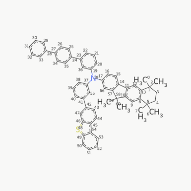 CC1(C)CCC(C)(C)c2cc3c(cc21)-c1ccc(N(c2cccc(-c4ccc(-c5ccccc5)cc4)c2)c2cccc(-c4ccc5c(c4)sc4ccccc45)c2)cc1C3(C)C